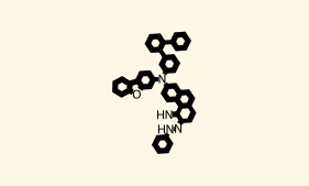 N=C1/C(=N\Nc2ccccc2)C=Cc2ccc3cc(N(c4cccc(-c5ccccc5-c5ccccc5)c4)c4ccc5c(c4)oc4ccccc45)ccc3c21